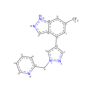 FC(F)(F)c1cc(-c2cnn(Cc3ccccn3)c2)c2cn[nH]c2c1